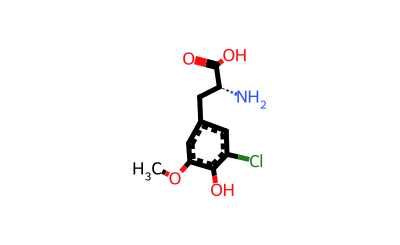 COc1cc(C[C@@H](N)C(=O)O)cc(Cl)c1O